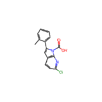 Cc1ccccc1-c1cc2ccc(Cl)nc2n1C(=O)O